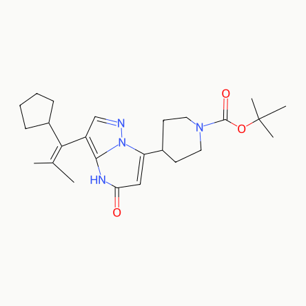 CC(C)=C(c1cnn2c(C3CCN(C(=O)OC(C)(C)C)CC3)cc(=O)[nH]c12)C1CCCC1